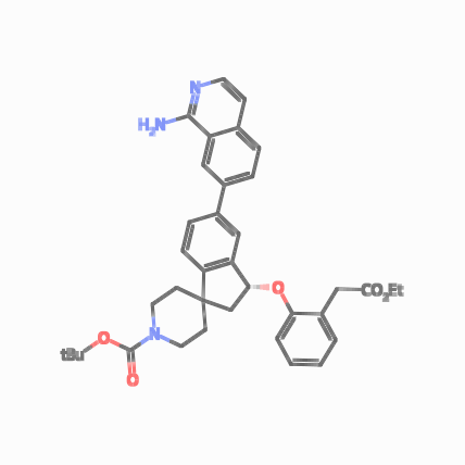 CCOC(=O)Cc1ccccc1O[C@@H]1CC2(CCN(C(=O)OC(C)(C)C)CC2)c2ccc(-c3ccc4ccnc(N)c4c3)cc21